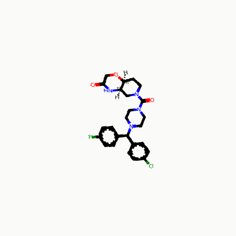 O=C1CO[C@H]2CCN(C(=O)N3CCN(C(c4ccc(F)cc4)c4ccc(Cl)cc4)CC3)C[C@H]2N1